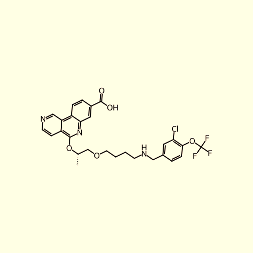 C[C@@H](COCCCCNCc1ccc(OC(F)(F)F)c(Cl)c1)Oc1nc2cc(C(=O)O)ccc2c2cnccc12